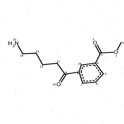 COC(=O)c1cccc(C(=O)CCCCN)c1